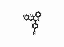 N#Cc1ccc(C2=Nc3ccccc3C(=O)C2=Cc2ccncc2)cc1